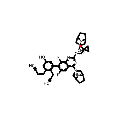 C#C/C=C\c1cc(O)cc(-c2c(F)cc3c(N4CC5CCC(C4)N5)nc(OCC4(CN5C6CCC5CN(C)C6)CC4)nc3c2F)c1CC#C